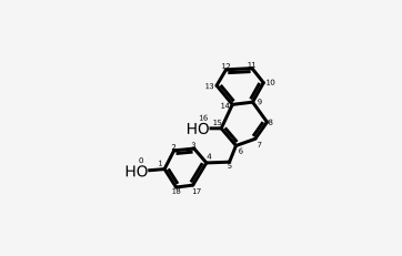 Oc1ccc(Cc2ccc3ccccc3c2O)cc1